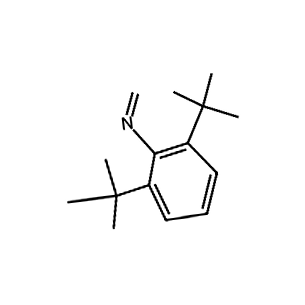 C=Nc1c(C(C)(C)C)cccc1C(C)(C)C